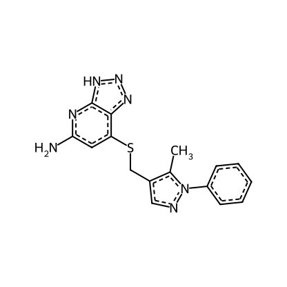 Cc1c(CSc2cc(N)nc3[nH]nnc23)cnn1-c1ccccc1